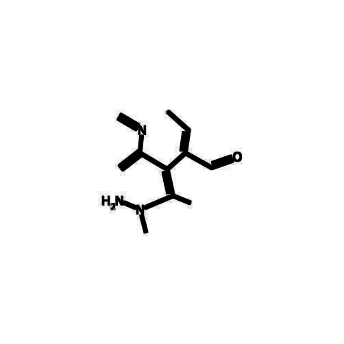 C=NC(=C)C(=C(/C)N(C)N)/C(C=O)=C\C